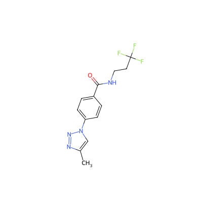 Cc1cn(-c2ccc(C(=O)NCCC(F)(F)F)cc2)nn1